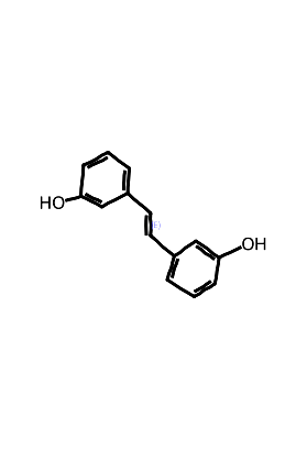 Oc1cccc(/C=C/c2cccc(O)c2)c1